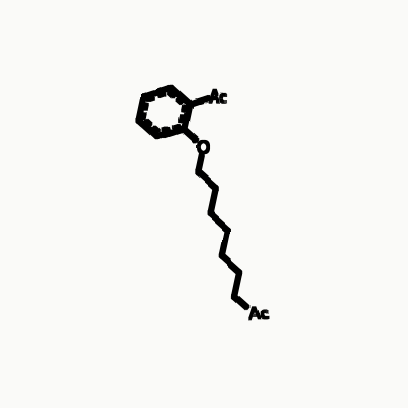 CC(=O)CCCCCCCOc1ccccc1C(C)=O